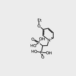 CCOc1ccc[n+](CC(P(=O)(O)O)P(=O)(O)O)c1